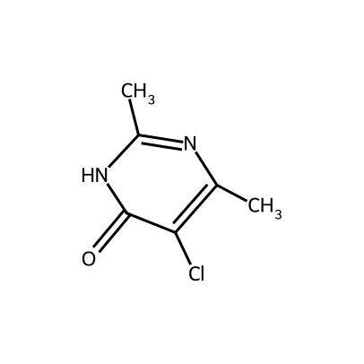 Cc1nc(C)c(Cl)c(=O)[nH]1